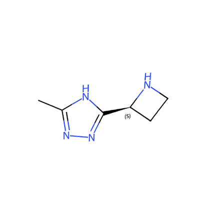 Cc1nnc([C@@H]2CCN2)[nH]1